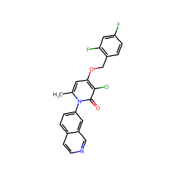 Cc1cc(OCc2ccc(F)cc2F)c(Cl)c(=O)n1-c1ccc2ccncc2c1